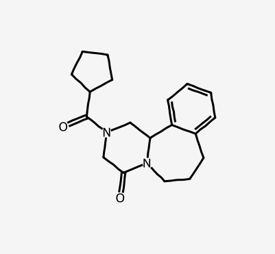 O=C(C1CCCC1)N1CC(=O)N2CCCc3ccccc3C2C1